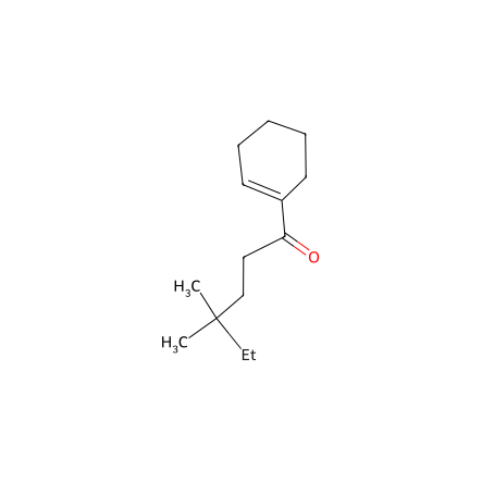 CCC(C)(C)CCC(=O)C1=CCCCC1